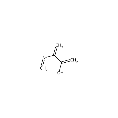 C=NC(=C)C(=C)O